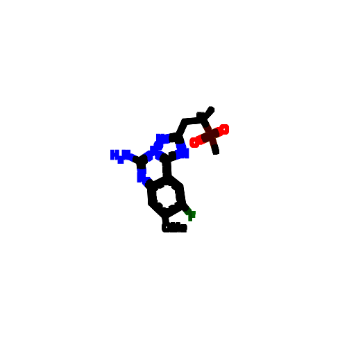 COc1cc2nc(N)n3nc(C[C@@H](C)S(C)(=O)=O)nc3c2cc1F